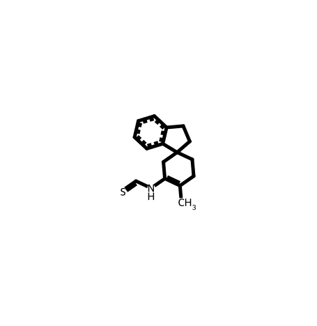 CC1=C(NC=S)CC2(CC1)CCc1ccccc12